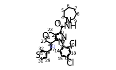 O=C(NN1CCCCCC1)c1nn(-c2ccc(Cl)cc2Cl)c2c1COC/C2=C\c1ccsc1